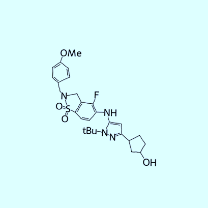 COc1ccc(CN2Cc3c(ccc(Nc4cc(C5CCC(O)C5)nn4C(C)(C)C)c3F)S2(=O)=O)cc1